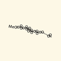 C=CC(=O)OCCCCCCOc1ccc(C(=O)Oc2ccc(C(=O)O[C@H]3COC4C3OC[C@H]4OC(=O)c3ccc(OC(=O)c4ccc(OC)cc4)cc3)cc2)cc1